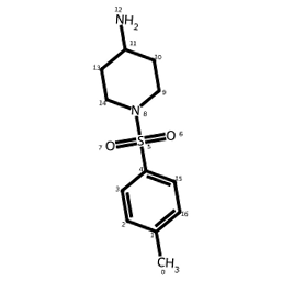 Cc1ccc(S(=O)(=O)N2CCC(N)CC2)cc1